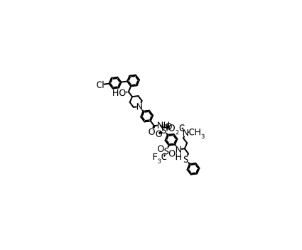 CN(CCC(CSc1ccccc1)Nc1ccc(S(=O)(=O)NC(=O)c2ccc(N3CCC([C@@H](O)c4ccccc4-c4ccc(Cl)cc4)CC3)cc2)cc1S(=O)(=O)C(F)(F)F)C(=O)O